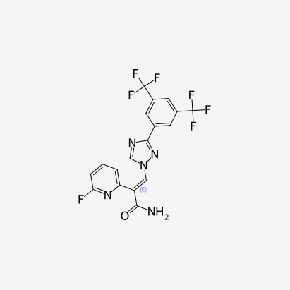 NC(=O)/C(=C/n1cnc(-c2cc(C(F)(F)F)cc(C(F)(F)F)c2)n1)c1cccc(F)n1